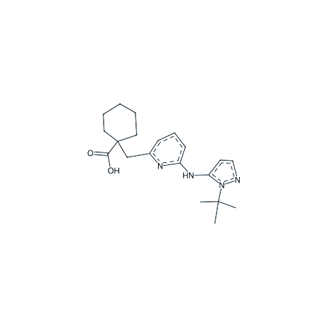 CC(C)(C)n1nccc1Nc1cccc(CC2(C(=O)O)CCCCC2)n1